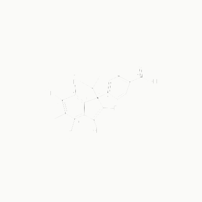 CC(C)C1(c2ccc(C(=O)O)cc2)C(F)=C(F)c2c(F)c(F)c(F)c(F)c21